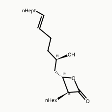 CCCCCCCC=CCC[C@@H](O)C[C@@H]1OC(=O)[C@H]1CCCCCC